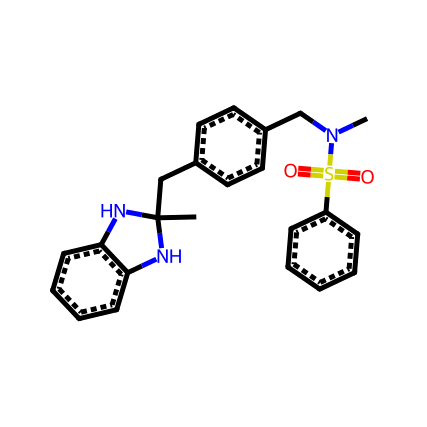 CN(Cc1ccc(CC2(C)Nc3ccccc3N2)cc1)S(=O)(=O)c1ccccc1